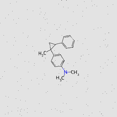 CN(C)c1ccc(C2(C)CC2c2ccccc2)cc1